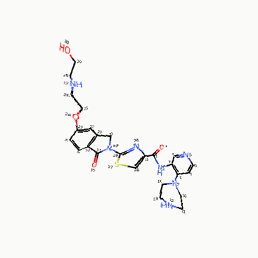 O=C(Nc1cnccc1N1CCNCC1)c1csc(N2Cc3cc(OCCNCCO)ccc3C2=O)n1